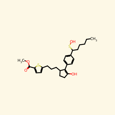 CCCCCC(SO)c1ccc(C2=C(O)CCC2CCCc2ccc(C(=O)OC)s2)cc1